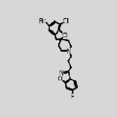 Fc1ccc2c(CCCN3CCC4(CC3)Cc3cc(Br)cc(Cl)c3O4)noc2c1